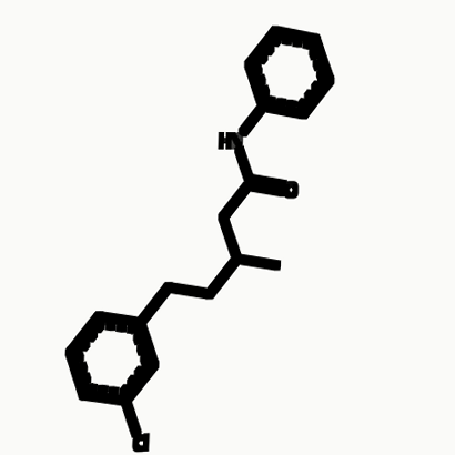 CC(CCc1cccc(Cl)c1)CC(=O)Nc1ccccc1